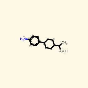 CC(C(=O)O)C1CCC(c2ccc(N)cc2)CC1